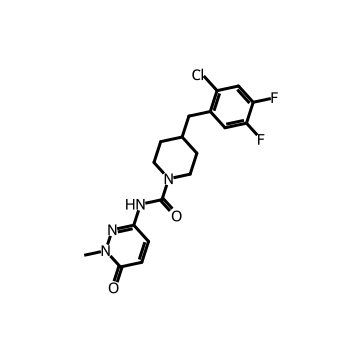 Cn1nc(NC(=O)N2CCC(Cc3cc(F)c(F)cc3Cl)CC2)ccc1=O